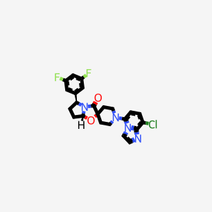 O=C1N2[C@@H](CC[C@H]2c2cc(F)cc(F)c2)OC12CCN(c1ccc(Cl)c3nccn13)CC2